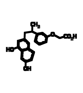 CC(Cc1cc(O)c2cc(O)ccc2c1)c1cccc(OCC(=O)O)c1